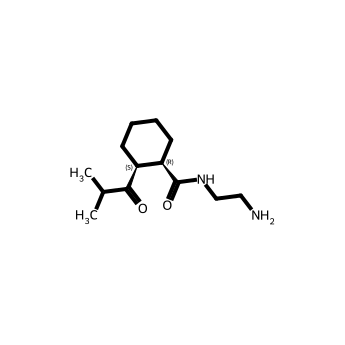 CC(C)C(=O)[C@H]1CCCC[C@H]1C(=O)NCCN